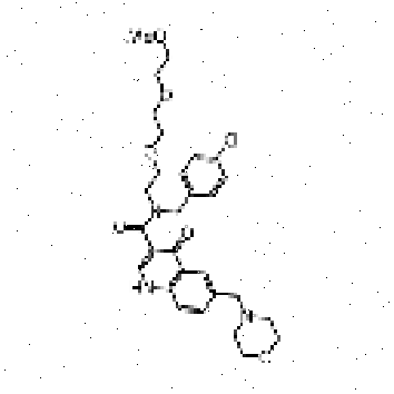 COCCOCCOCCN(Cc1ccc(Cl)cc1)C(=O)c1c[nH]c2ccc(CN3CCOCC3)cc2c1=O